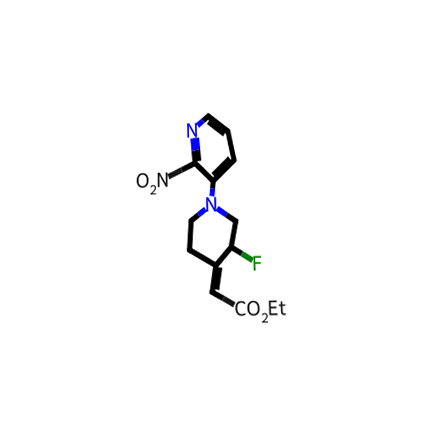 CCOC(=O)/C=C1/CCN(c2cccnc2[N+](=O)[O-])CC1F